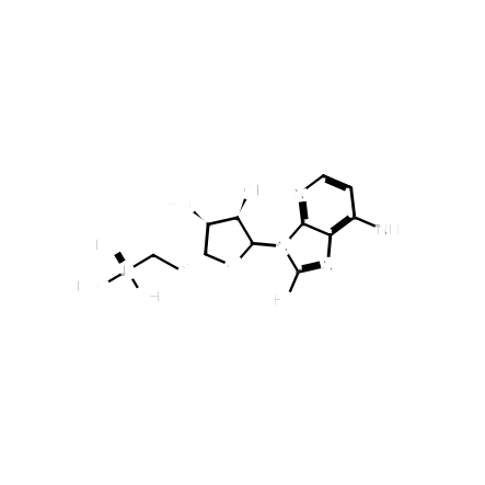 C=P(C)(C)CC[C@H]1OC(n2c(CC)nc3c(N)ccnc32)[C@H](O)[C@@H]1O